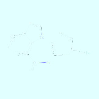 S=C1Nc2cc(Br)ccc2N2CCc3cccc1c32